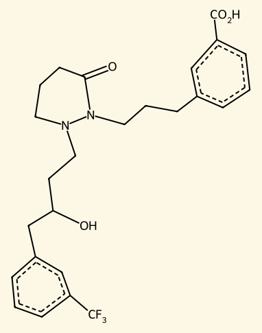 O=C(O)c1cccc(CCCN2C(=O)CCCN2CCC(O)Cc2cccc(C(F)(F)F)c2)c1